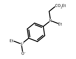 CCOC(=O)CN(CC)c1ccc([S+]([O-])CC)cc1